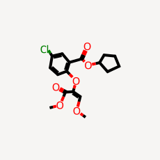 COC=C(Oc1ccc(Cl)cc1C(=O)OC1CCCC1)C(=O)OC